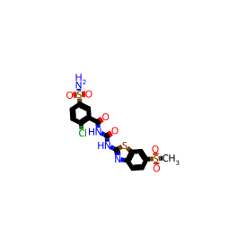 CS(=O)(=O)c1ccc2nc(NC(=O)NC(=O)c3cc(S(N)(=O)=O)ccc3Cl)sc2c1